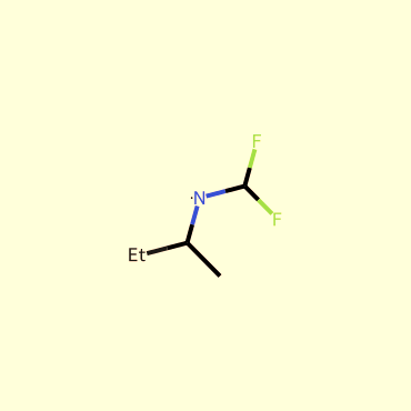 CCC(C)[N]C(F)F